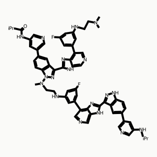 CC(C)Nc1cncc(-c2ccc3[nH]nc(-c4nc5c(-c6cc(F)cc(NCCN(C)n7nc(-c8nc9c(-c%10cc(F)cc(NCCN(C)C)c%10)cncc9[nH]8)c8cc(-c9cncc(NC(=O)C(C)C)c9)ccc87)c6)cncc5[nH]4)c3c2)c1